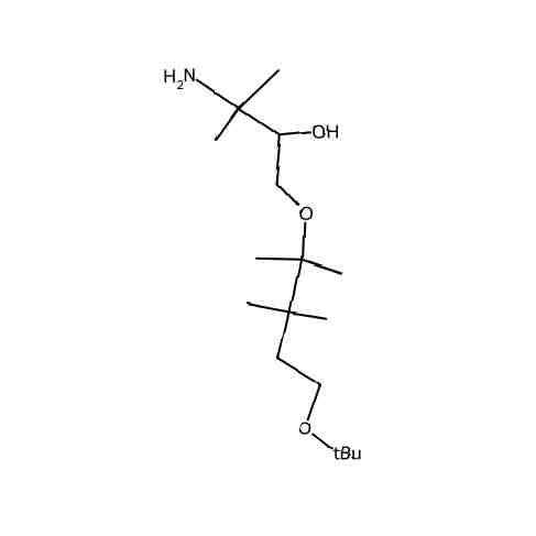 CC(C)(C)OCCC(C)(C)C(C)(C)OCC(O)C(C)(C)N